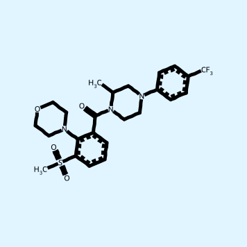 CC1CN(c2ccc(C(F)(F)F)cc2)CCN1C(=O)c1cccc(S(C)(=O)=O)c1N1CCOCC1